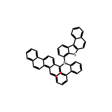 c1ccc(-c2ccccc2N(c2cccc3c2ccc2c4ccccc4ccc32)c2cccc3c2sc2ccc4ccccc4c23)cc1